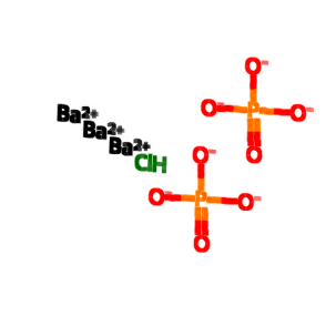 Cl.O=P([O-])([O-])[O-].O=P([O-])([O-])[O-].[Ba+2].[Ba+2].[Ba+2]